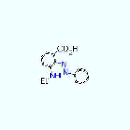 CCNc1cccc(C(=O)O)c1N=Nc1ccccc1